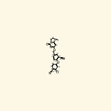 CN1CCn2c1cc(OCc1ccc(Oc3ccc(C#N)c(Cl)c3)c(C#N)c1)nc2=O